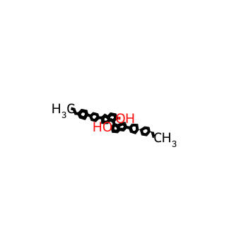 CCCc1ccc(C2CC=C(c3ccc4c(-c5c(O)ccc6cc(C7=CCC([C@H]8CC[C@H](CCC)CC8)CC7)ccc56)c(O)ccc4c3)CC2)cc1